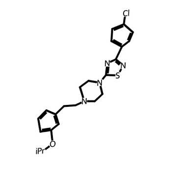 CC(C)Oc1cccc(CCN2CCN(c3nc(-c4ccc(Cl)cc4)ns3)CC2)c1